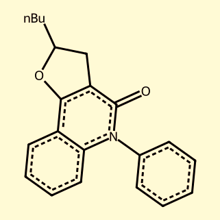 CCCCC1Cc2c(c3ccccc3n(-c3ccccc3)c2=O)O1